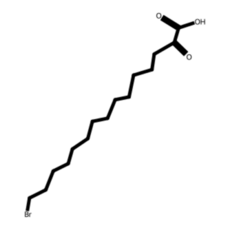 O=C(O)C(=O)CCCCCCCCCCCCCBr